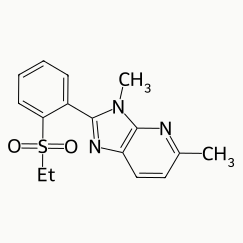 CCS(=O)(=O)c1ccccc1-c1nc2ccc(C)nc2n1C